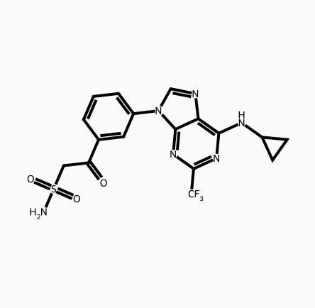 NS(=O)(=O)CC(=O)c1cccc(-n2cnc3c(NC4CC4)nc(C(F)(F)F)nc32)c1